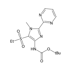 CCS(=O)(=O)c1c(NC(=O)OC(C)(C)C)nc(-c2ncccn2)n1C